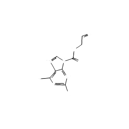 C=CCOC(=O)n1cnc2c(N)nc(F)nc21